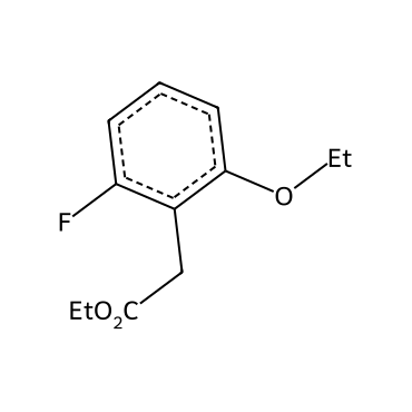 CCOC(=O)Cc1c(F)cccc1OCC